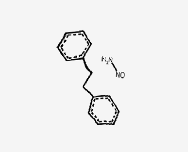 NN=O.c1ccc(CCc2ccccc2)cc1